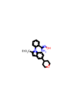 CCOC(=O)c1cc2cc(C3CCOCC3)ccc2n1-c1ccccc1/C(N)=N/O